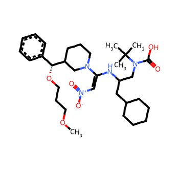 COCCCO[C@H](c1ccccc1)C1CCCN(C(=C[N+](=O)[O-])NC(CC2CCCCC2)CN(C(=O)O)C(C)(C)C)C1